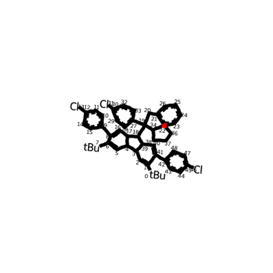 CC(C)(C)C1=CC2C3C=C(C(C)(C)C)C(c4ccc(Cl)cc4)=CC3C(C(Cc3ccccc3)(c3ccc(Cl)cc3)C3CCCC3)C2C=C1c1ccc(Cl)cc1